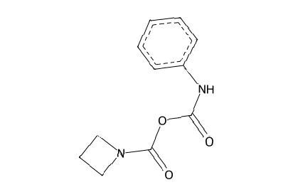 O=C(Nc1ccccc1)OC(=O)N1CCC1